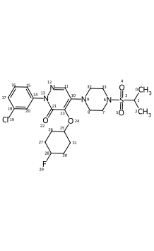 CC(C)S(=O)(=O)N1CCN(c2cnn(-c3cccc(Cl)c3)c(=O)c2OC2CCC(F)CC2)CC1